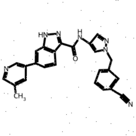 Cc1cncc(-c2ccc3c(C(=O)Nc4cnn(Cc5cccc(C#N)c5)c4)n[nH]c3c2)c1